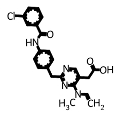 C=CN(C)c1nc(Cc2ccc(NC(=O)c3cccc(Cl)c3)cc2)ncc1CC(=O)O